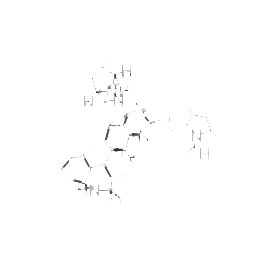 CN1CCC[C@H]1COc1nc(N2C[C@H]3CC[C@@H](C2)N3)c2ccc(-c3cc(=O)[nH]c4ccccc34)c(F)c2n1